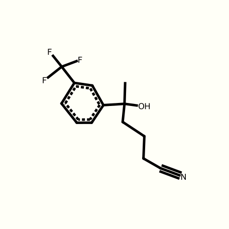 CC(O)(CCCC#N)c1cccc(C(F)(F)F)c1